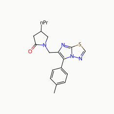 CCCC1CC(=O)N(Cc2nc3scnn3c2-c2ccc(C)cc2)C1